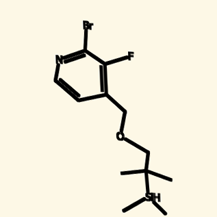 C[SiH](C)C(C)(C)COCc1ccnc(Br)c1F